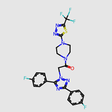 O=C(Cn1nc(-c2ccc(F)cc2)nc1-c1ccc(F)cc1)N1CCN(c2nnc(C(F)(F)F)s2)CC1